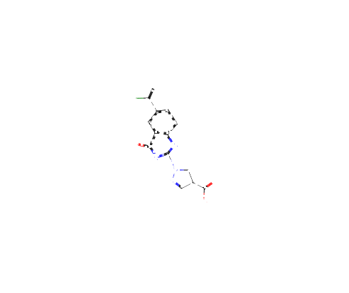 C=C(Cl)c1ccc2nc(N3CC(C(=O)O)C=N3)[nH]c(=O)c2c1